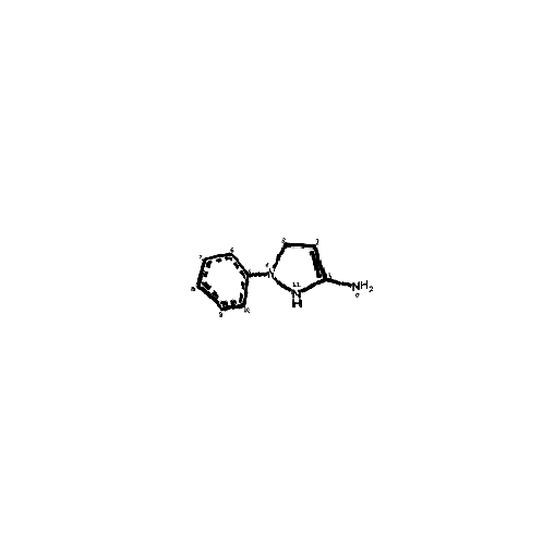 NC1=CCN(c2ccccc2)N1